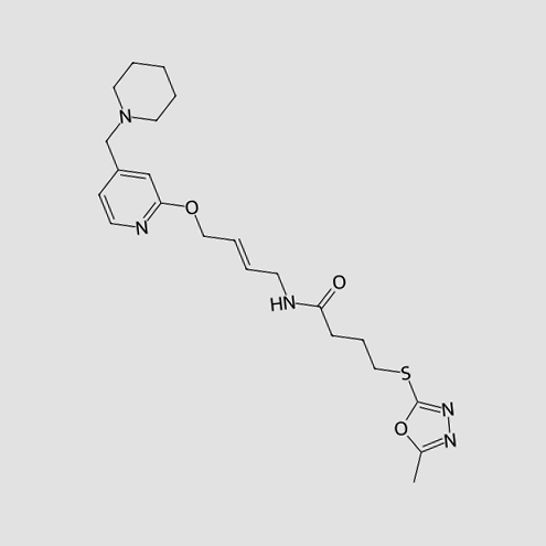 Cc1nnc(SCCCC(=O)NCC=CCOc2cc(CN3CCCCC3)ccn2)o1